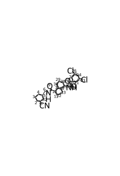 N#Cc1cccc(CNC(=O)c2cccc3c(NS(=O)(=O)c4cc(Cl)cc(Cl)c4)cccc23)c1